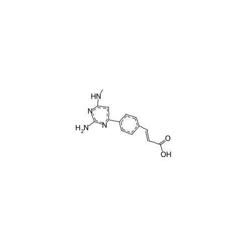 CNc1cc(-c2ccc(C=CC(=O)O)cc2)nc(N)n1